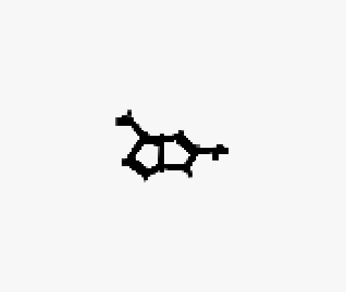 CCCCC1=[C]C2=C(CCCC)C=CC2S1